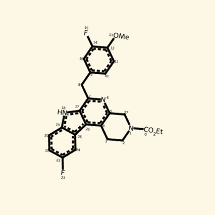 CCOC(=O)N1CCc2c(nc(Cc3ccc(OC)c(F)c3)c3[nH]c4ccc(F)cc4c23)C1